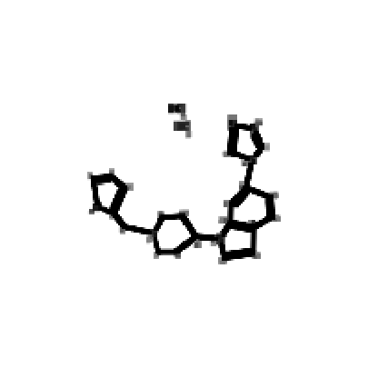 Cl.Cl.c1coc(CN2CCC(n3ccc4ccc(-n5cnnc5)cc43)CC2)c1